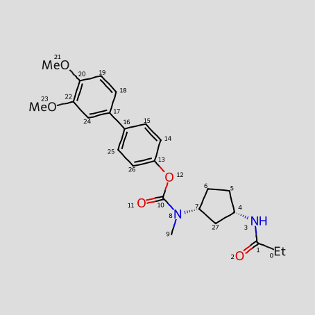 CCC(=O)N[C@H]1CC[C@@H](N(C)C(=O)Oc2ccc(-c3ccc(OC)c(OC)c3)cc2)C1